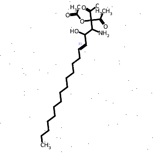 CCCCCCCCCCCCC/C=C/C(O)C(N)C(OC(C)=O)(C(C)=O)C(C)=O